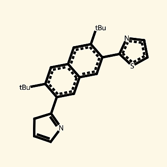 CC(C)(C)c1cc2cc(C(C)(C)C)c(-c3nccs3)cc2cc1C1=NC=CC1